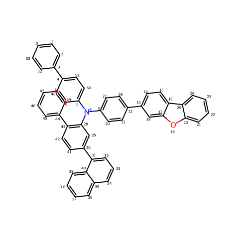 c1ccc(-c2ccc(N(c3ccc(-c4ccc5c(c4)oc4ccccc45)cc3)c3cc(-c4cccc5ccccc45)ccc3-c3ccccc3)cc2)cc1